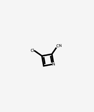 N#CC1=NC=C1Cl